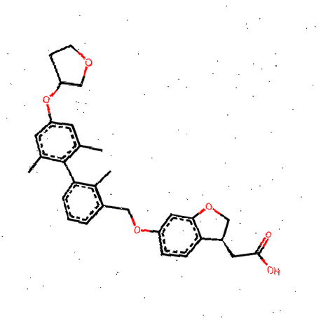 Cc1cc(OC2CCOC2)cc(C)c1-c1cccc(COc2ccc3c(c2)OC[C@H]3CC(=O)O)c1C